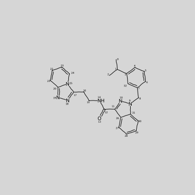 CC(C)c1cccc(Cn2nc(C(=O)NCCc3nnc4ccccn34)c3ccccc32)c1